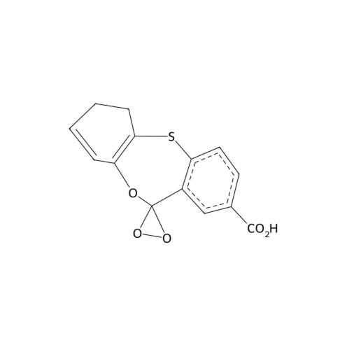 O=C(O)c1ccc2c(c1)C1(OO1)OC1=C(CCC=C1)S2